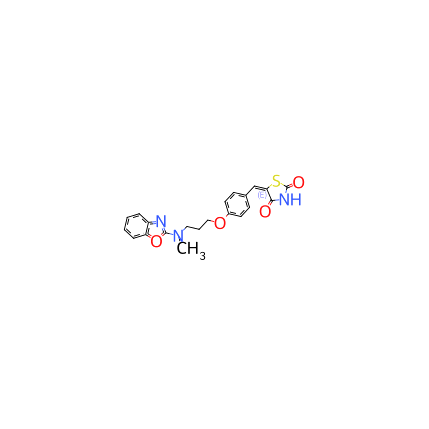 CN(CCCOc1ccc(/C=C2/SC(=O)NC2=O)cc1)c1nc2ccccc2o1